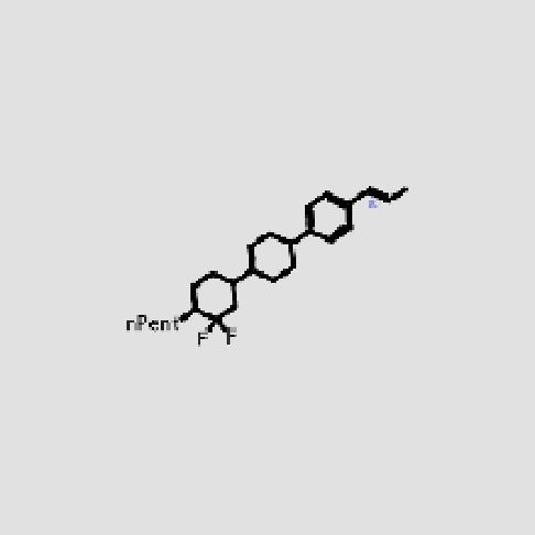 C/C=C/c1ccc(C2CCC(C3CCC(CCCCC)C(F)(F)C3)CC2)cc1